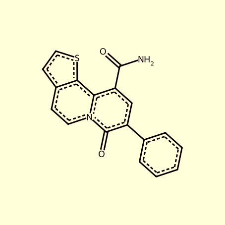 NC(=O)c1cc(-c2ccccc2)c(=O)n2ccc3ccsc3c12